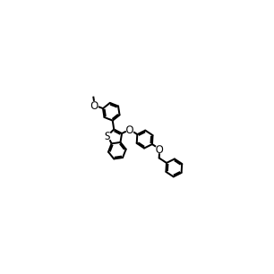 COc1cccc(-c2sc3ccccc3c2Oc2ccc(OCc3ccccc3)cc2)c1